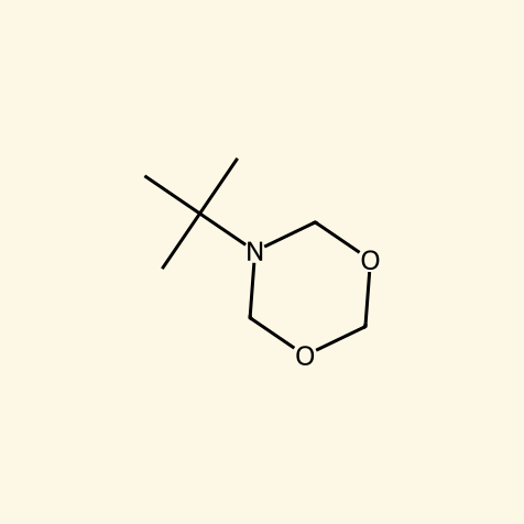 CC(C)(C)N1COCOC1